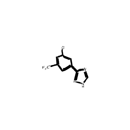 FC(F)(F)c1cc(Cl)cc(-c2nc[nH]n2)c1